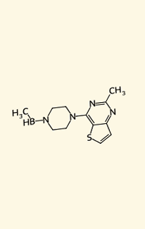 CBN1CCN(c2nc(C)nc3ccsc23)CC1